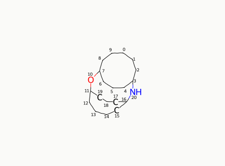 C1CCC2CCCC(CC1)OC1CCCCC(CCC1)N2